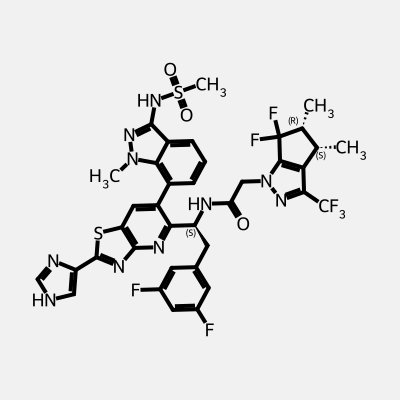 C[C@@H]1c2c(C(F)(F)F)nn(CC(=O)N[C@@H](Cc3cc(F)cc(F)c3)c3nc4nc(-c5c[nH]cn5)sc4cc3-c3cccc4c(NS(C)(=O)=O)nn(C)c34)c2C(F)(F)[C@@H]1C